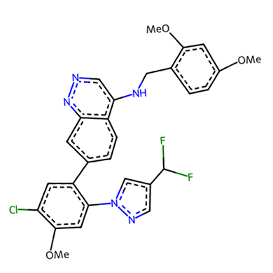 COc1ccc(CNc2cnnc3cc(-c4cc(Cl)c(OC)cc4-n4cc(C(F)F)cn4)ccc23)c(OC)c1